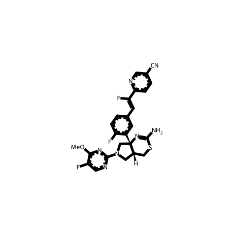 COc1nc(N2C[C@H]3CSC(N)=N[C@@]3(c3cc(/C=C(\F)c4ccc(C#N)cn4)ccc3F)C2)ncc1F